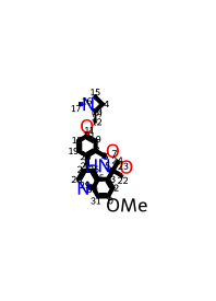 COc1cc(C2(NC(=O)c3cc(OC[C@@H]4CCN4C)ccc3C)COC2)c2cccnc2c1